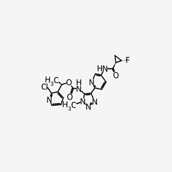 C[C@@H](OC(=O)Nc1c(-c2ccc(NC(=O)[C@H]3C[C@@H]3F)cn2)nnn1C)c1cccnc1Cl